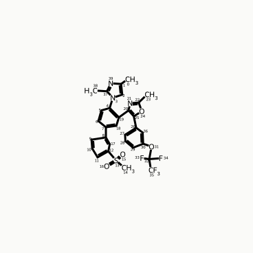 Cc1cn(-c2ccc(-c3cccc(S(C)(=O)=O)c3)cc2-c2nc(C)oc2-c2cccc(OC(F)(F)C(F)(F)F)c2)c(C)n1